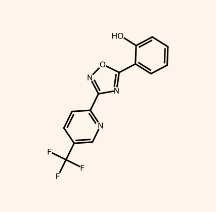 Oc1ccccc1-c1nc(-c2ccc(C(F)(F)F)cn2)no1